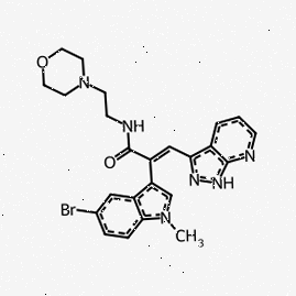 Cn1cc(/C(=C\c2n[nH]c3ncccc23)C(=O)NCCN2CCOCC2)c2cc(Br)ccc21